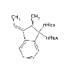 C=C1/C(=C\C)c2ccccc2C1(CCCCCC)CCCCCC